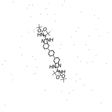 CC(C)(C)OC(=O)N[C@H](c1nc2ccc(-c3ccc(-c4ccc5nc([C@@H](NC(=O)OC(C)(C)C)C(C)(C)C)[nH]c5c4)cc3)cc2[nH]1)C(C)(C)C